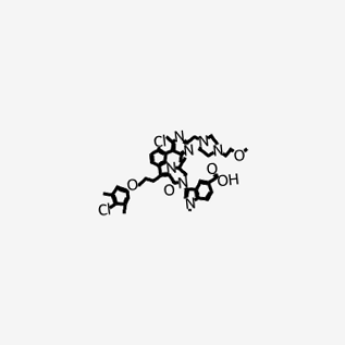 COCCN1CCN(Cc2nc(C)c(-c3c(Cl)ccc4c(CCCOc5cc(C)c(Cl)c(C)c5)c5n(c34)C(C)CN(c3cn(C)c4ccc(C(=O)O)cc34)C5=O)c(C)n2)CC1